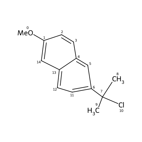 COc1ccc2cc(C(C)(C)Cl)ccc2c1